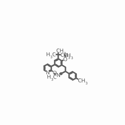 COc1ncccc1-c1cc(CC(C#N)c2ccc(C)cc2)c(OC)c(C(C)(C)C)c1